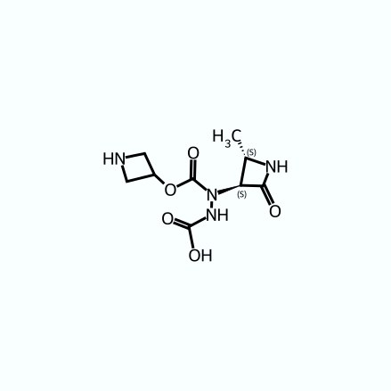 C[C@@H]1NC(=O)[C@H]1N(NC(=O)O)C(=O)OC1CNC1